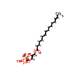 CCCCCCCCCCCCCCCC(=O)OCC(CO)OS(=O)(=O)O